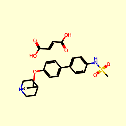 CS(=O)(=O)Nc1ccc(-c2ccc(OC3CN4CCC3CC4)cc2)cc1.O=C(O)C=CC(=O)O